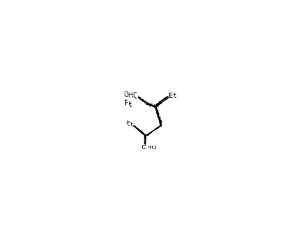 CCC(C=O)CC(C=O)CC.[Fe]